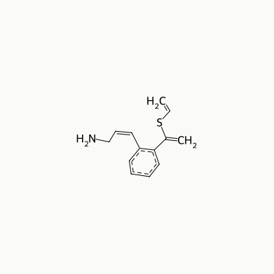 C=CSC(=C)c1ccccc1/C=C\CN